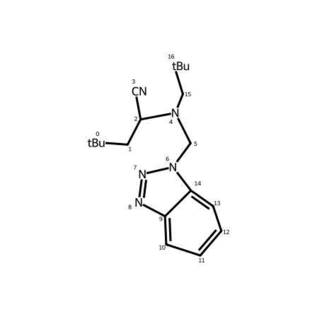 CC(C)(C)CC(C#N)N(Cn1nnc2ccccc21)CC(C)(C)C